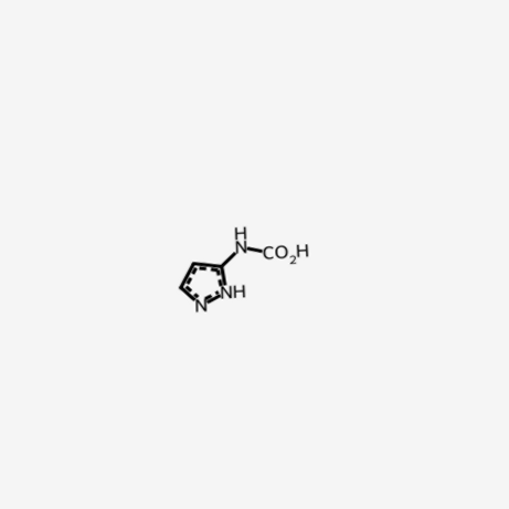 O=C(O)Nc1ccn[nH]1